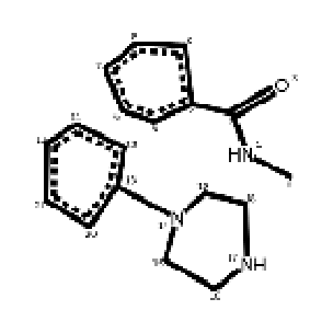 CNC(=O)c1ccccc1.c1ccc(N2CCNCC2)cc1